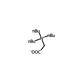 CCCC[N+](CCCC)(CCCC)CC(=O)[O-]